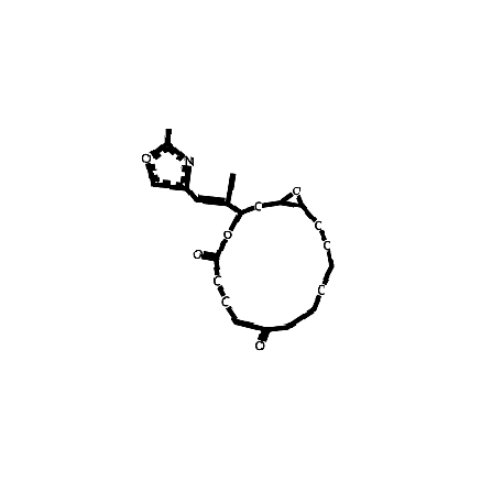 CC(=Cc1coc(C)n1)C1CC2OC2CCCCCCC(=O)CCCC(=O)O1